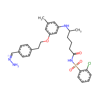 Cc1cc(NC(C)CCCC(=O)NS(=O)(=O)c2ccccc2Cl)cc(OCCc2ccc(/C=N\N)cc2)c1